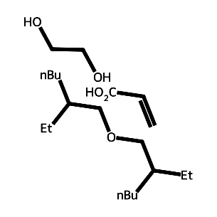 C=CC(=O)O.CCCCC(CC)COCC(CC)CCCC.OCCO